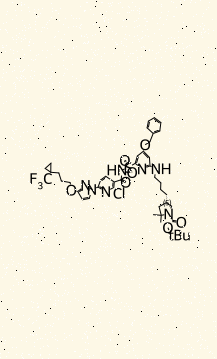 CC(C)(C)OC(=O)N1C[C@@H](CCCCNc2cc(OCc3ccccc3)cc(S(=O)(=O)NC(=O)c3ccc(-n4ccc(OCCCC5(C(F)(F)F)CC5)n4)nc3Cl)n2)CC1(C)C